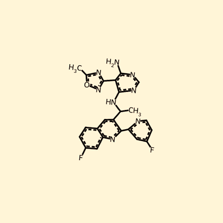 Cc1nc(-c2c(N)ncnc2NC(C)c2cc3ccc(F)cc3nc2-c2cc(F)ccn2)no1